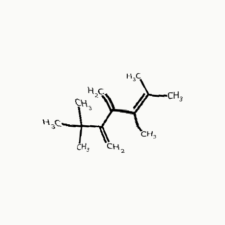 C=C(C(=C)C(C)(C)C)C(C)=C(C)C